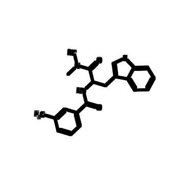 CN(C#N)C(=O)C(Cc1csc2ccccc12)NC(=O)c1cccc(C(F)(F)F)c1